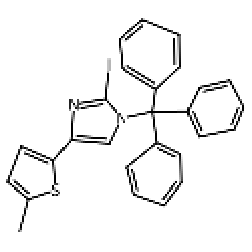 Cc1ccc(-c2cn(C(c3ccccc3)(c3ccccc3)c3ccccc3)c(I)n2)s1